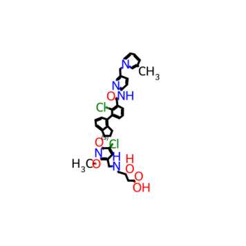 COc1nc(O[C@H]2CCc3c(-c4cccc(C(=O)Nc5ccc(CN6C=CC=CC(C)=C6)cn5)c4Cl)cccc32)c(Cl)cc1CNCC(O)CC(=O)O